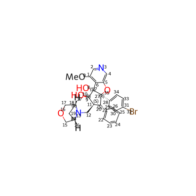 COc1cncc2c1[C@]1(O)[C@H](O)[C@H](CN3[C@@H]4COC[C@H]3C4)[C@@H](c3ccccc3)[C@]1(c1ccc(Br)cc1)O2